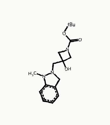 CN1c2ccccc2CN1CC1(O)CN(C(=O)OC(C)(C)C)C1